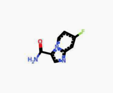 NC(=O)c1cnc2cc(F)ccn12